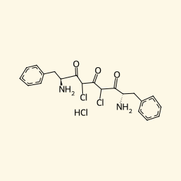 Cl.N[C@@H](Cc1ccccc1)C(=O)C(Cl)C(=O)C(Cl)C(=O)[C@@H](N)Cc1ccccc1